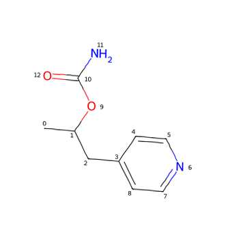 CC(Cc1ccncc1)OC(N)=O